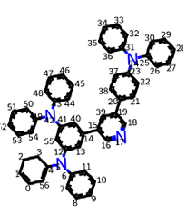 C1=CCCC(N(c2ccccc2)c2cc(-c3cncc(-c4ccc(N(c5ccccc5)c5ccccc5)cc4)c3)cc(N(c3ccccc3)c3ccccc3)c2)=C1